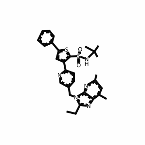 CCc1nc2c(C)cc(C)nc2n1Cc1ccc(-c2cc(-c3ccccc3)sc2S(=O)(=O)NC(C)(C)C)nc1